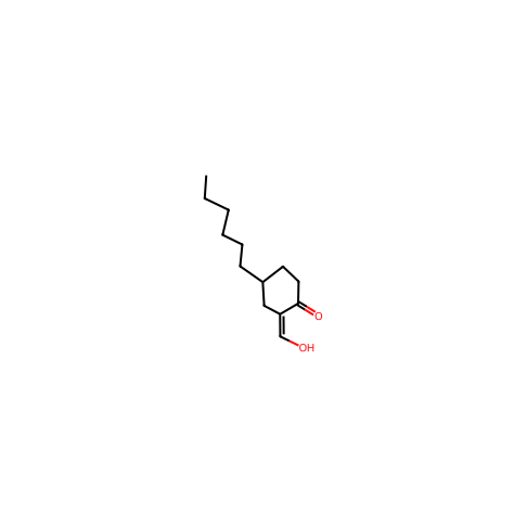 CCCCCCC1CCC(=O)/C(=C\O)C1